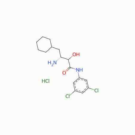 Cl.N[C@H](CC1CCCCC1)C(O)C(=O)Nc1cc(Cl)cc(Cl)c1